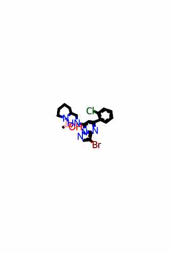 CB(O)N1CCCCC1CNc1cc(-c2ccccc2Cl)nc2c(Br)cnn12